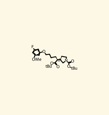 COc1cc(F)cc(OCCCC[C@H](C(=O)OC(C)(C)C)[C@H]2CCN(C(=O)OC(C)(C)C)C2)c1